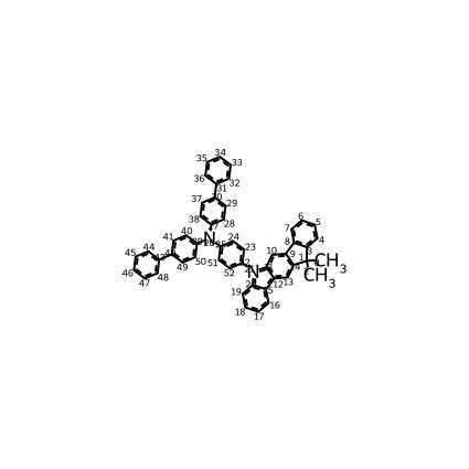 CC1(C)c2ccccc2-c2cc3c(cc21)c1ccccc1n3-c1ccc(N(c2ccc(-c3ccccc3)cc2)c2ccc(-c3ccccc3)cc2)cc1